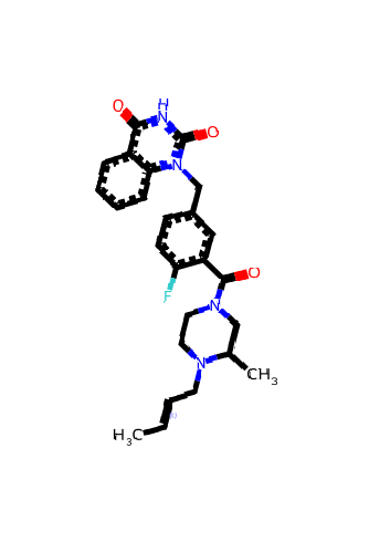 C/C=C/CN1CCN(C(=O)c2cc(Cn3c(=O)[nH]c(=O)c4ccccc43)ccc2F)CC1C